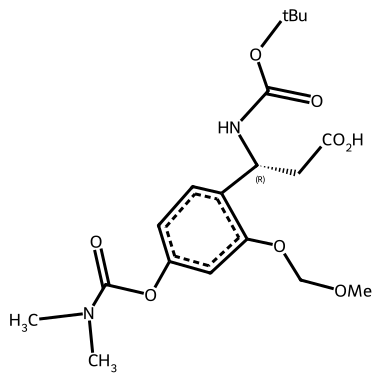 COCOc1cc(OC(=O)N(C)C)ccc1[C@@H](CC(=O)O)NC(=O)OC(C)(C)C